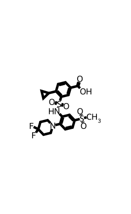 CS(=O)(=O)c1ccc(N2CCC(F)(F)CC2)c(NS(=O)(=O)c2cc(C(=O)O)ccc2C2CC2)c1